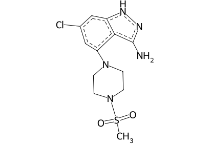 CS(=O)(=O)N1CCN(c2cc(Cl)cc3[nH]nc(N)c23)CC1